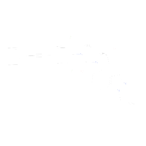 CCn1ncc2c1CCC[C@@]2(CC=O)N(C)C(=O)N(C)c1c(F)cc(C#Cc2ccccc2)cc1F